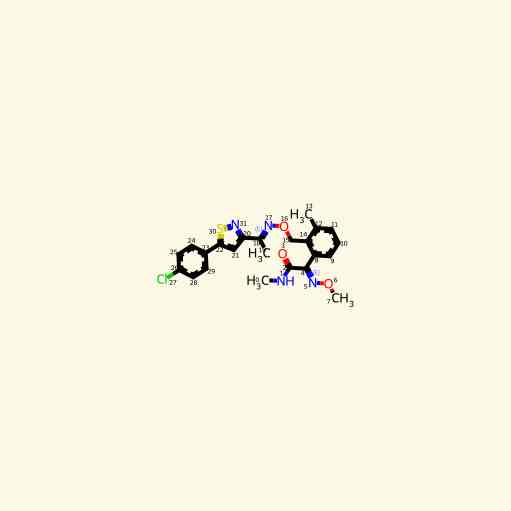 CNC(=O)/C(=N/OC)c1cccc(C)c1CO/N=C(\C)c1cc(-c2ccc(Cl)cc2)sn1